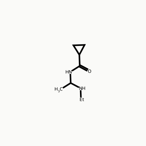 CCNC(C)NC(=O)C1CC1